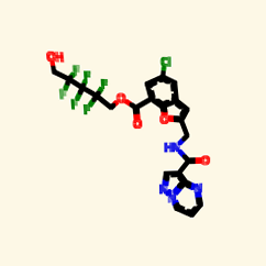 O=C(OCC(F)(F)C(F)(F)C(F)(F)CO)c1cc(Cl)cc2cc(CNC(=O)c3cnn4cccnc34)oc12